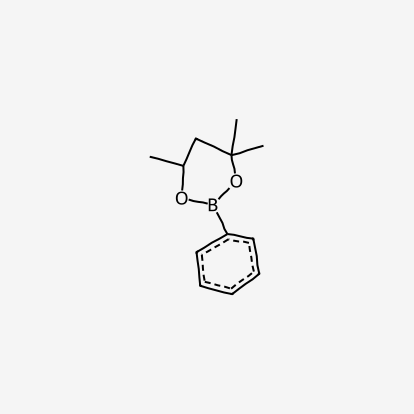 CC1CC(C)(C)OB(c2ccccc2)O1